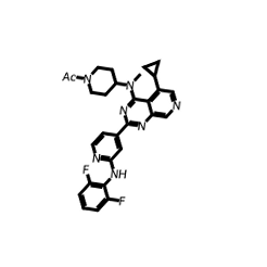 CC(=O)N1CCC(N(C)c2nc(-c3ccnc(Nc4c(F)cccc4F)c3)nc3cncc(C4CC4)c23)CC1